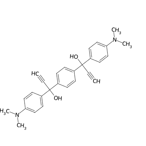 C#CC(O)(c1ccc(N(C)C)cc1)c1ccc(C(O)(C#C)c2ccc(N(C)C)cc2)cc1